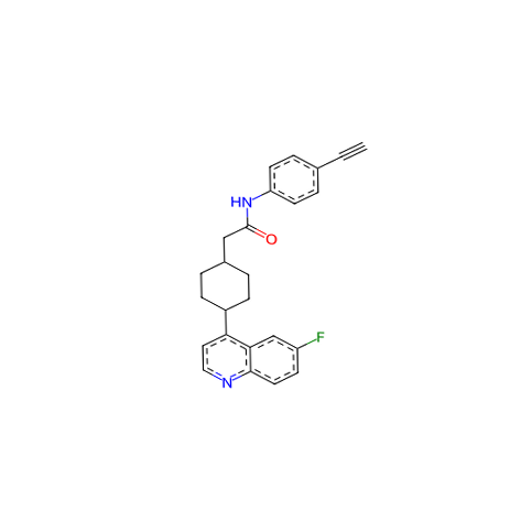 C#Cc1ccc(NC(=O)CC2CCC(c3ccnc4ccc(F)cc34)CC2)cc1